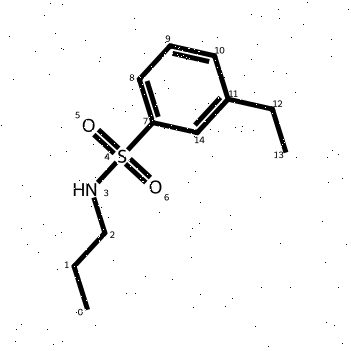 CCCNS(=O)(=O)c1cccc(CC)c1